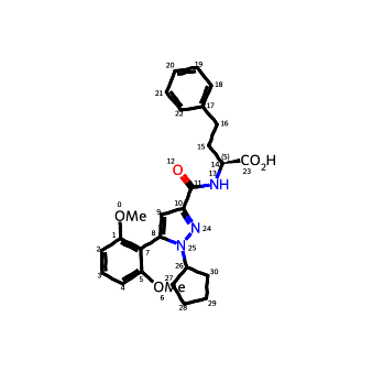 COc1cccc(OC)c1-c1cc(C(=O)N[C@@H](CCc2ccccc2)C(=O)O)nn1C1CCCC1